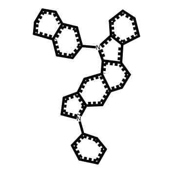 c1ccc(-n2ccc3cc4c(ccc5c6ccccc6n(-c6ccc7ccccc7c6)c45)cc32)cc1